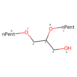 CCCCCOCC(CO)OCCCCC